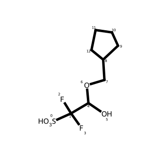 O=S(=O)(O)C(F)(F)C(O)OCC1CCCC1